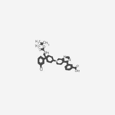 CC(C)(C)OC(=O)NCC1(c2cccc(Cl)c2)CCC(N2CCc3c(ncnc3-c3cccc(C(=O)O)c3)C2)CC1